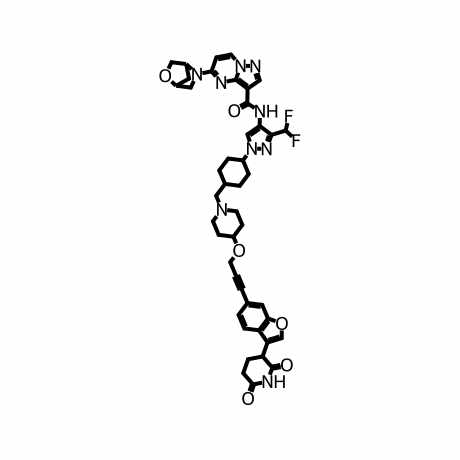 O=C1CCC(c2coc3cc(C#CCOC4CCN(CC5CCC(n6cc(NC(=O)c7cnn8ccc(N9CC%10CC9CO%10)nc78)c(C(F)F)n6)CC5)CC4)ccc23)C(=O)N1